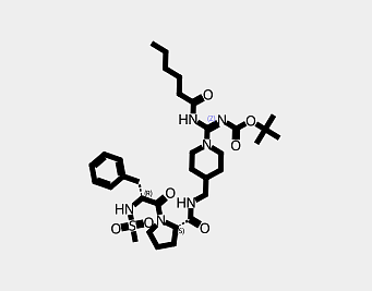 CCCCCC(=O)N/C(=N/C(=O)OC(C)(C)C)N1CCC(CNC(=O)[C@@H]2CCCN2C(=O)[C@@H](Cc2ccccc2)NS(C)(=O)=O)CC1